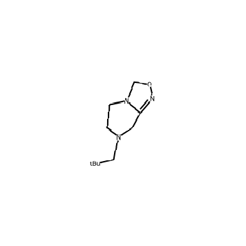 CC(C)(C)CN1CCN2CON=C2C1